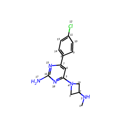 CNC1CN(c2cc(-c3ccc(Cl)cc3)nc(N)n2)C1